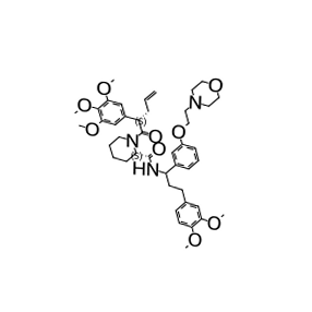 C=CC[C@H](C(=O)N1CCCC[C@H]1C(=O)NC(CCc1ccc(OC)c(OC)c1)c1cccc(OCCN2CCOCC2)c1)c1cc(OC)c(OC)c(OC)c1